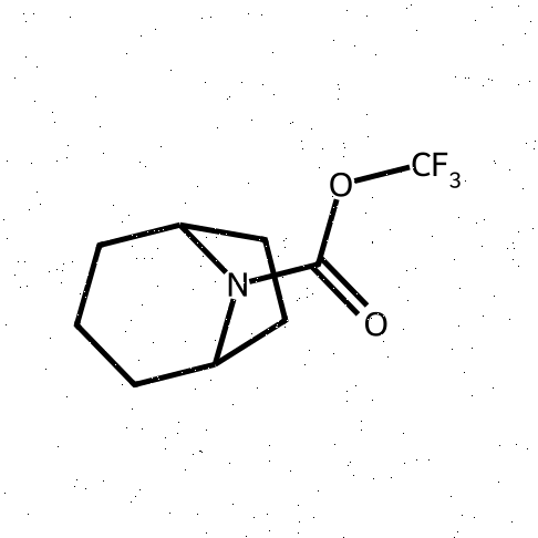 O=C(OC(F)(F)F)N1C2CCCC1CC2